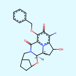 O=C1c2c(OCc3ccccc3)c(=O)c(I)c3n2[C@H](CC3O)[C@H]2OC3CCC(C3)CN12